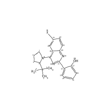 CC(C)(C)C1CCCN1c1nc(-c2ccccc2O)nc2ccc(F)cc12